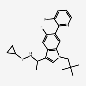 CC(NSC1CC1)c1cn(CC(C)(C)C)c2cc(-c3ncccc3F)c(F)cc12